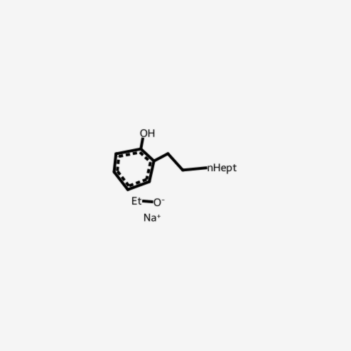 CCCCCCCCCc1ccccc1O.CC[O-].[Na+]